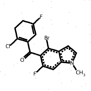 Cn1ccc2c(Br)c(C(=O)C3=C(Cl)CCC(F)=C3)c(F)cc21